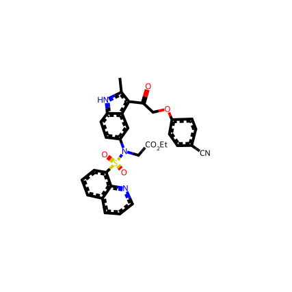 CCOC(=O)CN(c1ccc2[nH]c(C)c(C(=O)COc3ccc(C#N)cc3)c2c1)S(=O)(=O)c1cccc2cccnc12